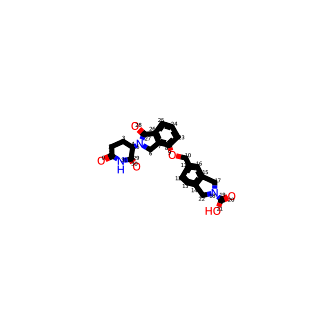 O=C1CCC(N2Cc3c(OCc4ccc5c(c4)CN(C(=O)O)C5)cccc3C2=O)C(=O)N1